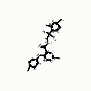 Cc1ccc(Sc2nnc(C)nc2C(=O)NCC(F)(F)c2ccc(C)cc2C)cc1